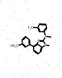 CN(c1cccc(C(F)(F)F)c1)c1nc2c(-c3cccc(C(=O)O)c3)cccc2n1C